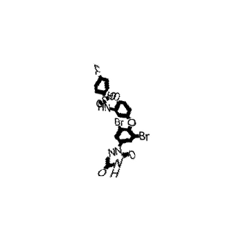 O=c1cnn(-c2cc(Br)c(Oc3ccc(O)c(NS(=O)(=O)c4ccc(F)cc4)c3)c(Br)c2)c(=O)[nH]1